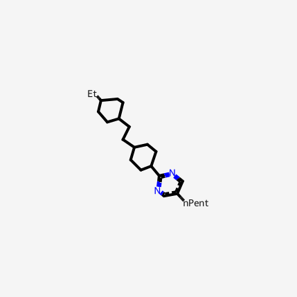 CCCCCc1cnc(C2CCC(CCC3CCC(CC)CC3)CC2)nc1